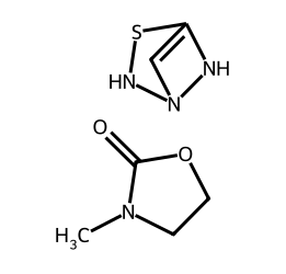 CN1CCOC1=O.c1c2[nH]n1NS2